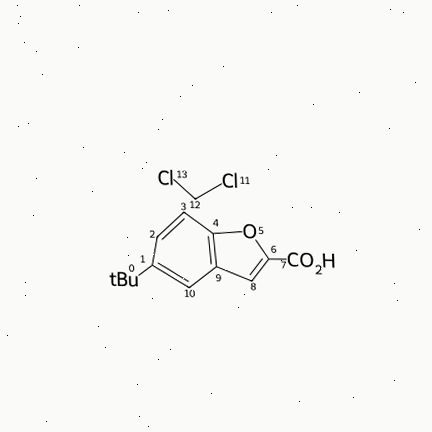 CC(C)(C)c1ccc2oc(C(=O)O)cc2c1.ClCCl